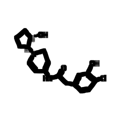 O=C(Cc1ccc(Cl)c(O)c1)NC1=CCN([C@H]2CCC[C@@H]2O)C=C1